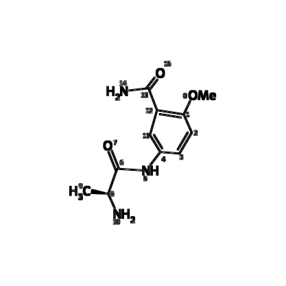 COc1ccc(NC(=O)[C@H](C)N)cc1C(N)=O